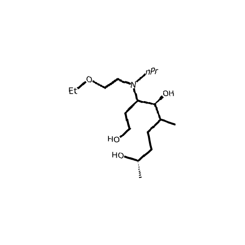 CCCN(CCOCC)C(CCO)[C@@H](O)C(C)CC[C@H](C)O